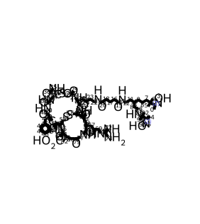 C/C(=N/O)C(C)(C)CCCC(CCNC(=O)CCCC(=O)NCCCC[C@@H]1NC(=O)CSC[C@@H](C(N)=O)NC(=O)NC(=O)[C@H](Cc2ccccc2)CC(=O)[C@@H]2CSSC[C@H](NC1=O)C(=O)C[C@@H](CCCNC(=N)N)C(=O)NCC(=O)C[C@@H](CC(=O)O)C(=O)N2)CCNC(C)(C)/C(C)=N\O